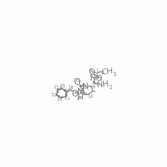 CCS(=O)(=O)N=C(N)[C@@H]1CC[C@@H]2CN1C(=O)N2OCc1ccccc1